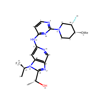 CO[C@@H]1CCN(c2nccc(Nc3cc4c(cn3)nc([C@@H](C)O)n4[C@@H](C)C(F)(F)F)n2)C[C@@H]1F